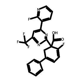 O=C(O)C1(c2nc(-c3cccnc3F)cc(C(F)(F)F)n2)CC(c2ccccc2)=CC=C1F